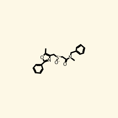 Cc1oc(-c2ccccc2)nc1C[S+]([O-])CC(=O)N(C)Cc1ccccc1